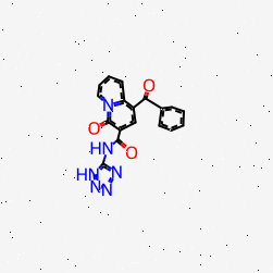 O=C(Nc1nnn[nH]1)c1cc(C(=O)c2ccccc2)c2ccccn2c1=O